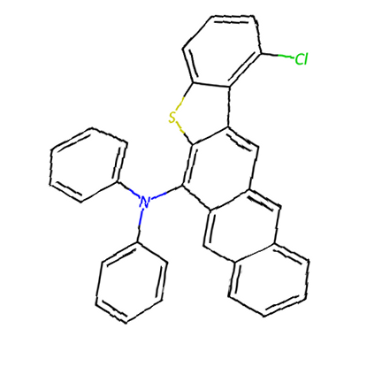 Clc1cccc2sc3c(N(c4ccccc4)c4ccccc4)c4cc5ccccc5cc4cc3c12